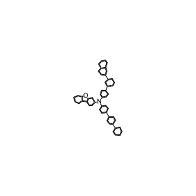 c1ccc(-c2ccc(-c3ccc(N(c4ccc(-c5cccc(-c6ccc7ccccc7c6)c5)cc4)c4ccc5c(c4)oc4ccccc45)cc3)cc2)cc1